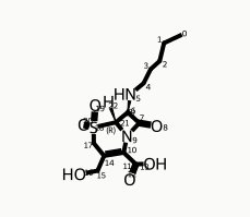 CCCCCN[C@H]1C(=O)N2C(C(=O)O)=C(CO)CS(=O)(=O)[C@H]12